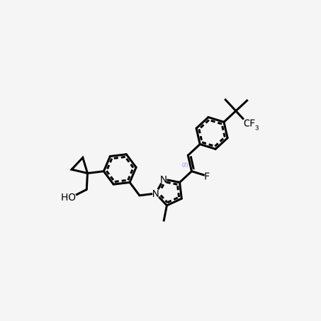 Cc1cc(/C(F)=C/c2ccc(C(C)(C)C(F)(F)F)cc2)nn1Cc1cccc(C2(CO)CC2)c1